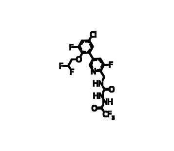 O=C(NCc1ncc(-c2cc(Cl)cc(F)c2OCC(F)F)cc1F)NNC(=O)C(F)(F)F